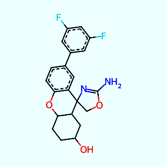 NC1=NC2(CO1)c1cc(-c3cc(F)cc(F)c3)ccc1OC1CCC(O)CC12